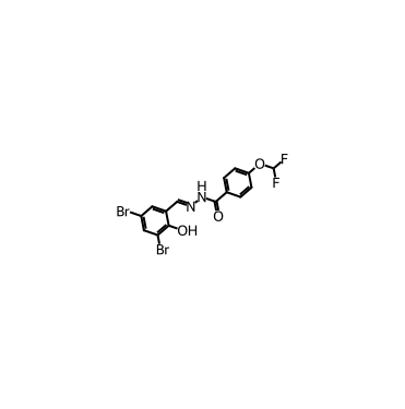 O=C(NN=Cc1cc(Br)cc(Br)c1O)c1ccc(OC(F)F)cc1